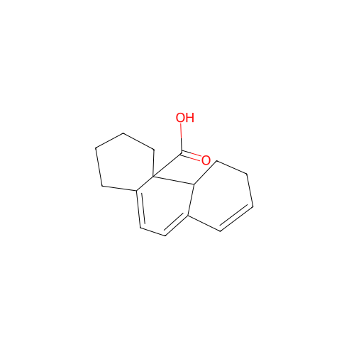 O=C(O)C12CCCCC1=CC=C1C=CCCC12